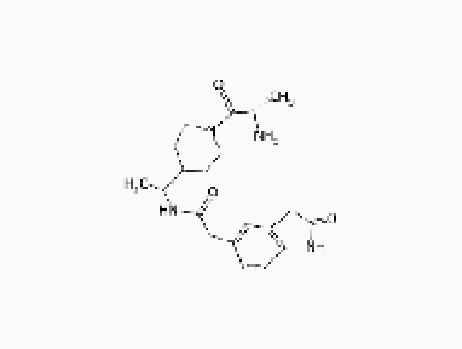 CC(NC(=O)Cc1ccc2c(c1)CC(=O)N2)C1CCN(C(=O)[C@H](C)N)CC1